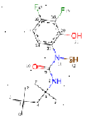 CC(C)(C)CC(C)(C)NC(=O)N(S)c1ccc(F)c(F)c1O